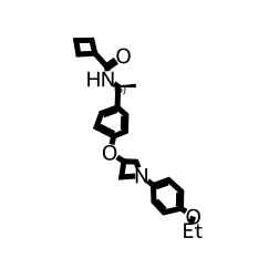 CCOc1ccc(N2CC(Oc3ccc([C@H](C)NC(=O)C4CCC4)cc3)C2)cc1